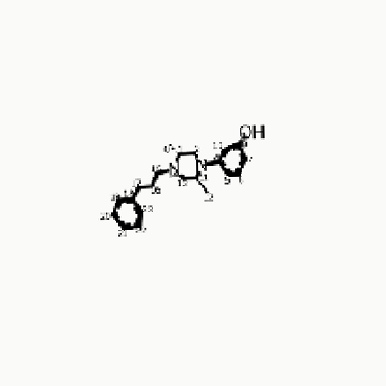 C[C@@H]1CN(c2cccc(O)c2)[C@@H](C)CN1CCCc1ccccc1